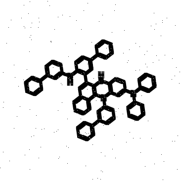 B1c2ccc(N(c3ccccc3)c3ccccc3)cc2N(c2cccc(-c3ccccc3)c2)c2c1c(-c1cc(-c3ccccc3)ccc1Nc1cccc(-c3ccccc3)c1)cc1ccccc21